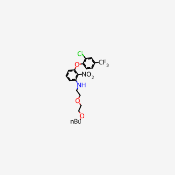 CCCCOCCOCCNc1cccc(Oc2ccc(C(F)(F)F)cc2Cl)c1[N+](=O)[O-]